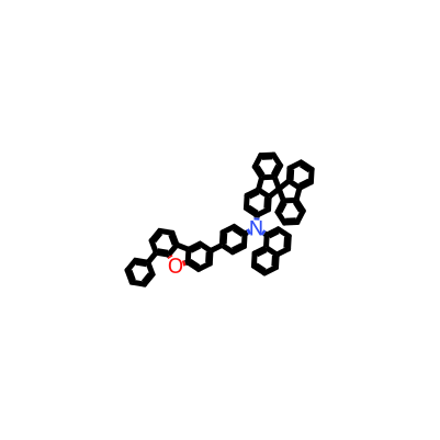 c1ccc(-c2cccc3c2oc2ccc(-c4ccc(N(c5ccc6c(c5)C5(c7ccccc7-c7ccccc75)c5ccccc5-6)c5cccc6ccccc56)cc4)cc23)cc1